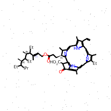 C=Cc1c(C)c2cc3nc(c4c5[nH]c(cc6nc(cc1[nH]2)C(C)=C6CC)c(C)c5C(=O)C4C(=O)O)[C@@H](CCC(=O)OC/C=C(\C)C(CC)[C@H](C)C(CC)[C@H](C)C(CC)C(C)C)C3C